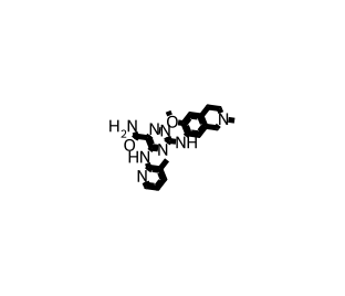 COc1cc2c(cc1Nc1nnc(C(N)=O)c(Nc3ncccc3C)n1)CN(C)CC2